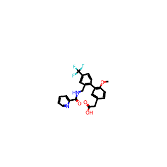 COc1ccc(CC(=O)O)cc1-c1ccc(C(F)(F)F)cc1CNC(=O)c1ccccn1